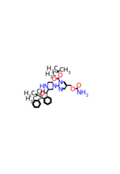 CC(C)(C)OC(=O)N1C=C(COC(N)=O)C=N[C@H]1N1CCNC(CO[Si](c2ccccc2)(c2ccccc2)C(C)(C)C)C1